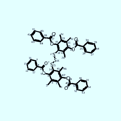 Cc1c(C)c(OC(=O)c2ccccc2)c(SSSc2c(C)c(OC(=O)c3ccccc3)c(C)c(C)c2OC(=O)c2ccccc2)c(C)c1OC(=O)c1ccccc1